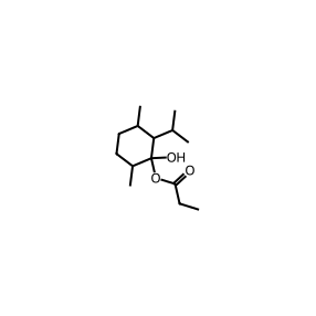 CCC(=O)OC1(O)C(C)CCC(C)C1C(C)C